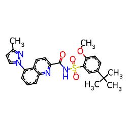 COc1ccc(C(C)(C)C)cc1S(=O)(=O)NC(=O)c1ccc2c(-n3ccc(C)n3)cccc2n1